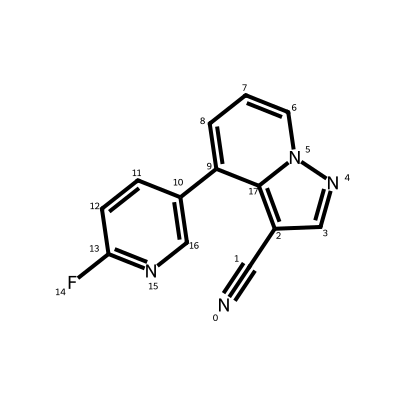 N#Cc1cnn2cccc(-c3ccc(F)nc3)c12